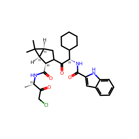 C[C@H](NC(=O)[C@H]1C(C(=O)[C@@H](NC(=O)c2cc3ccccc3[nH]2)C2CCCCC2)C[C@H]2[C@@H]1C2(C)C)C(=O)CCl